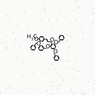 COc1ccc(C=CC(=O)c2c(OCc3ccccc3)cc(OCc3ccccc3)cc2OCc2ccccc2)cc1OCc1ccccc1